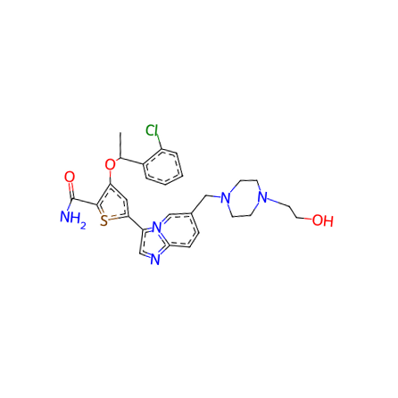 CC(Oc1cc(-c2cnc3ccc(CN4CCN(CCO)CC4)cn23)sc1C(N)=O)c1ccccc1Cl